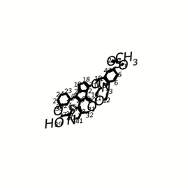 CS(=O)(=O)c1ccc(N2CCOCC2)c(COC2=CC=C3C(C4CCCCC4)=C4C(=COCC5=C4SC(C(=O)O)=NC5)C23)c1